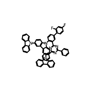 Fc1ccc(-c2ccc(-n3c4ccc(-n5c6ccccc6c6ccccc65)cc4c4cc(-n5c6ccccc6c6ccccc65)ccc43)c(-c3nc(-c4ccccc4)nc(-c4ccccc4)n3)c2)c(F)c1